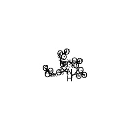 O=C1OCC(CNCC(COCC2COC(=O)O2)(COCC2COC(=O)O2)COCC2COC(=O)O2)O1